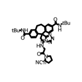 CC(C)(C)NC(=O)c1ccc2c(c1)CCc1cc(C(=O)NC(C)(C)C)ccc1C2(CCNCC(=O)N1CCC[C@H]1C#N)c1nnn[nH]1